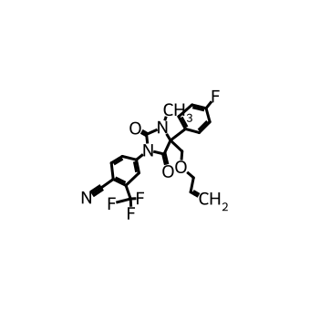 C=CCOCC1(c2ccc(F)cc2)C(=O)N(c2ccc(C#N)c(C(F)(F)F)c2)C(=O)N1C